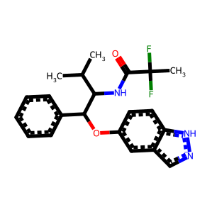 CC(C)C(NC(=O)C(C)(F)F)C(Oc1ccc2[nH]ncc2c1)c1ccccc1